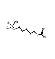 NC(=O)NCCCCCO[Si](O)(O)O